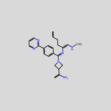 C=CCCC(=C/NC=O)/N=C(\c1ccc(-c2ncccn2)cc1)N1CC(C(=C)N)C1